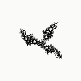 C=CC(=O)Oc1ccc(C(c2ccc(OCC(CC)(COc3ccc(C(c4ccc(OC(=O)C=C)cc4)(C(F)(F)F)C(F)(F)F)cc3)COc3ccc(C(c4ccc(OC(=O)C=C)cc4)(C(F)(F)F)C(F)(F)F)cc3)cc2)(C(F)(F)F)C(F)(F)F)cc1